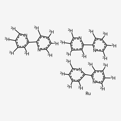 [2H]c1nc(-c2nc([2H])c([2H])c([2H])c2[2H])c([2H])c([2H])c1[2H].[2H]c1nc(-c2nc([2H])c([2H])c([2H])c2[2H])c([2H])c([2H])c1[2H].[2H]c1nc(-c2nc([2H])c([2H])c([2H])c2[2H])c([2H])c([2H])c1[2H].[Ru]